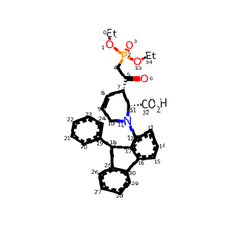 CCOP(=O)(CC(=O)[C@H]1C=CCN(c2cccc3c2C(c2ccccc2)c2ccccc2-3)[C@H]1C(=O)O)OCC